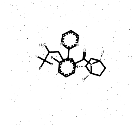 CC(CCCN[C@@H]1C[C@H]2CC[C@@H]1N2C(=O)c1cccc(F)c1-c1ncccn1)C(F)(F)F